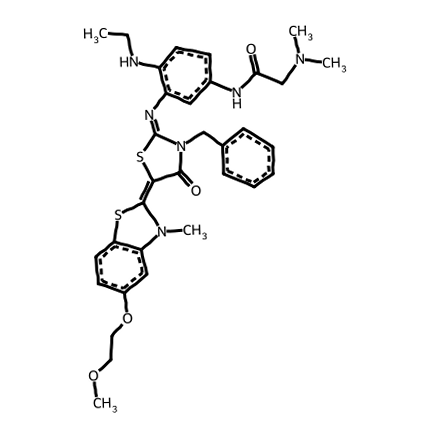 CCNc1ccc(NC(=O)CN(C)C)cc1/N=C1/S/C(=C2\Sc3ccc(OCCOC)cc3N2C)C(=O)N1Cc1ccccc1